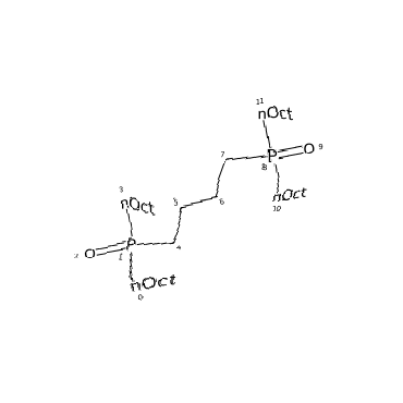 CCCCCCCCP(=O)(CCCCCCCC)CCCCP(=O)(CCCCCCCC)CCCCCCCC